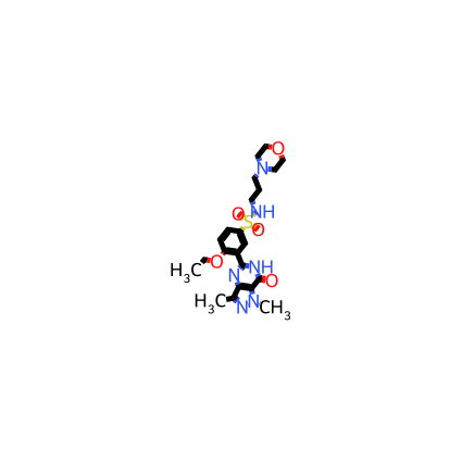 CCOc1ccc(S(=O)(=O)NCCCN2CCOCC2)cc1-c1nc2c(C)nn(C)c2c(=O)[nH]1